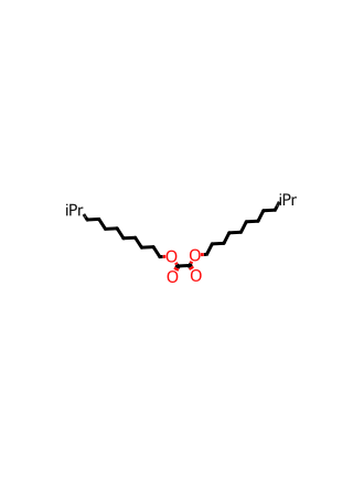 CC(C)CCCCCCCCCOC(=O)C(=O)OCCCCCCCCCC(C)C